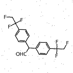 O=[C]C(c1ccc(C(F)(F)CF)cc1)c1ccc(C(F)(F)CF)cc1